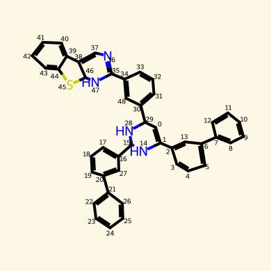 C1=C(c2cccc(-c3ccccc3)c2)NC(c2cccc(-c3ccccc3)c2)NC1c1cccc(C2=NC=C3c4ccccc4SC3N2)c1